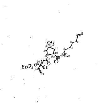 C=CCCCCN(C)C(=O)[C@@H]1C[C@H](O)C[C@H]1C(=O)NC(C=C)(CC)C(=O)OCC